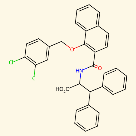 O=C(NC(C(=O)O)C(c1ccccc1)c1ccccc1)c1ccc2ccccc2c1OCc1ccc(Cl)c(Cl)c1